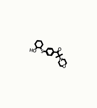 CC(C)(C(=O)c1ccc(SC2CCCCC2O)cc1)N1CCOCC1